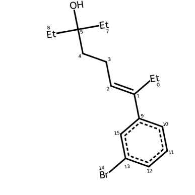 CCC(=CCCC(O)(CC)CC)c1cccc(Br)c1